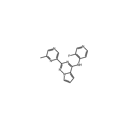 Cc1cncc(-c2nc(Nc3ccncc3F)c3cccn3n2)n1